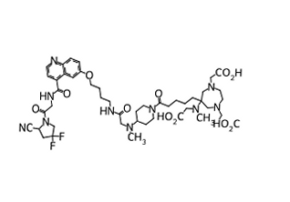 CN(CC(=O)NCCCCOc1ccc2nccc(C(=O)NCC(=O)N3CC(F)(F)CC3C#N)c2c1)C1CCN(C(=O)CCCCC2(N(C)CC(=O)O)CN(CC(=O)O)CCN(CC(=O)O)C2)CC1